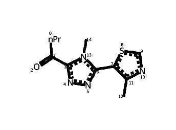 CCCC(=O)c1nnc(-c2scnc2C)n1C